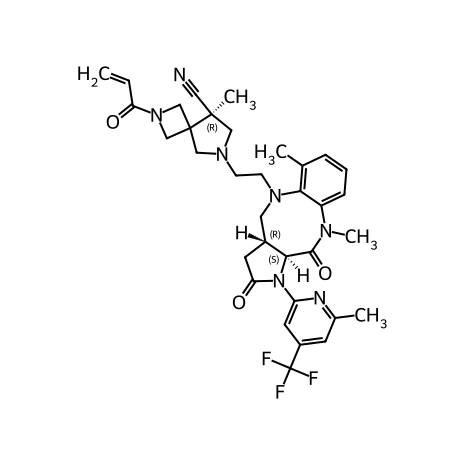 C=CC(=O)N1CC2(CN(CCN3C[C@H]4CC(=O)N(c5cc(C(F)(F)F)cc(C)n5)[C@@H]4C(=O)N(C)c4cccc(C)c43)C[C@]2(C)C#N)C1